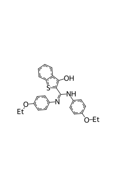 CCOc1ccc(N=C(Nc2ccc(OCC)cc2)c2sc3ccccc3c2O)cc1